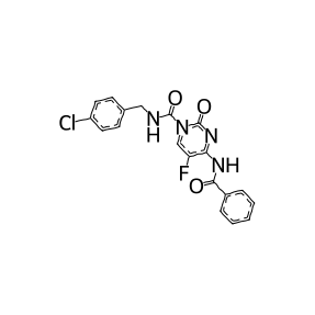 O=C(Nc1nc(=O)n(C(=O)NCc2ccc(Cl)cc2)cc1F)c1ccccc1